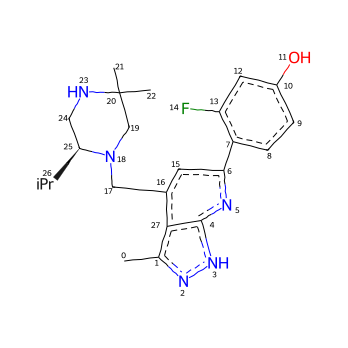 Cc1n[nH]c2nc(-c3ccc(O)cc3F)cc(CN3CC(C)(C)NC[C@@H]3C(C)C)c12